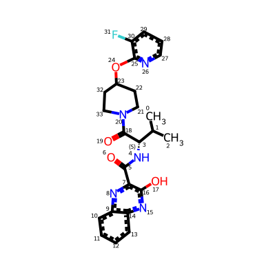 CC(C)[C@H](NC(=O)c1nc2ccccc2nc1O)C(=O)N1CCC(Oc2ncccc2F)CC1